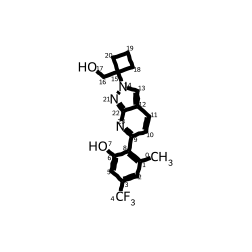 Cc1cc(C(F)(F)F)cc(O)c1-c1ccc2cn(C3(CO)CCC3)nc2n1